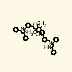 C=CC1=C(/C=C(\C)c2cccc(-c3nc(-c4ccccc4)cc(-c4ccccc4)n3)c2)C(C)(C)c2cc(-c3cccc(/C=N/C(=C\C(=N)c4ccccc4)c4ccccc4)c3)ccc2C1